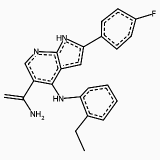 C=C(N)c1cnc2[nH]c(-c3ccc(F)cc3)cc2c1Nc1ccccc1CC